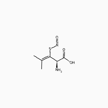 CC(C)=C(SN=O)[C@H](N)C(=O)O